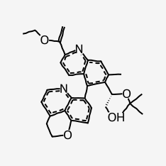 C=C(OCC)c1ccc2c(-c3ccc4c5c(ccnc35)CCO4)c([C@@H](CO)OC(C)(C)C)c(C)cc2n1